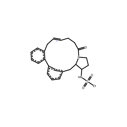 CCS(=O)(=O)NC1CCN2C(=O)CC/C=C/Cc3ccccc3-c3cccc(c3)CC12